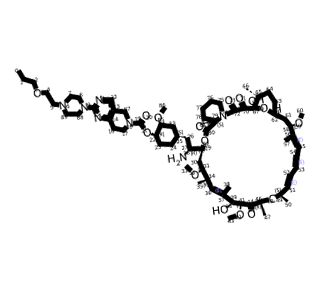 CCCOCCN1CCN(c2ncc3c(n2)CCN(C(=O)O[C@@H]2CC[C@@H](C[C@@H](N)[C@@H]4C[C@@H](OC)[C@H](C)/C=C(\C)[C@@H](O)[C@@H](OC)C(=O)[C@H](C)C[C@H](C)/C=C/C=C/C=C(\C)[C@@H](OC)C[C@@H]5CC[C@@H](C)[C@@](O)(O5)C(=O)C(=O)N5CCCC[C@H]5C(=O)O4)C[C@H]2OC)C3)CC1